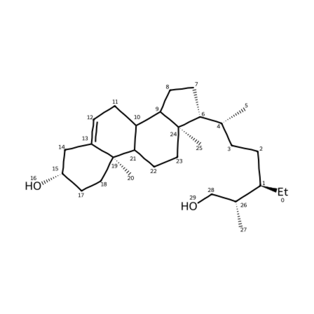 CC[C@H](CC[C@@H](C)[C@H]1CCC2C3CC=C4C[C@@H](O)CC[C@]4(C)C3CC[C@@]21C)[C@H](C)CO